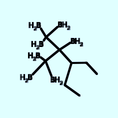 BC(B)(B)C(B)(C(CC)CC)C(B)(B)B